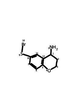 NC1CCOc2ccc(SBr)cc21